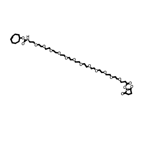 O=C(CCOCCOCCOCCOCCOCCOCCOCCOCCOCCOCCOCCOCCNC(=O)OC1CC/C=C\CCC1)ON1C(=O)CCC1=O